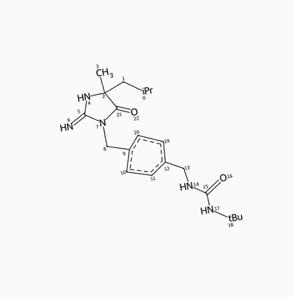 CC(C)CC1(C)NC(=N)N(Cc2ccc(CNC(=O)NC(C)(C)C)cc2)C1=O